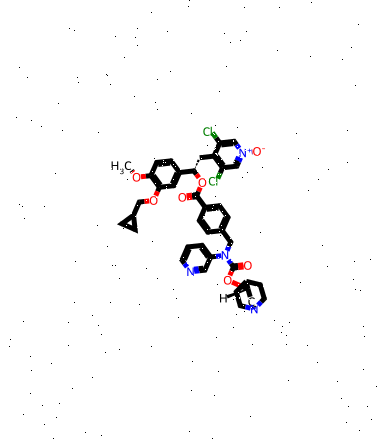 COc1ccc([C@H](Cc2c(Cl)c[n+]([O-])cc2Cl)OC(=O)c2ccc(CN(C(=O)O[C@H]3CN4CCC3CC4)c3cccnc3)cc2)cc1OCC1CC1